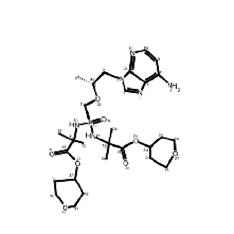 C[C@H](Cn1cnc2c(N)ccnc21)OCP(=O)(NC(C)(C)C(=O)OC1CCOCC1)NC(C)(C)C(=O)OC1CCOCC1